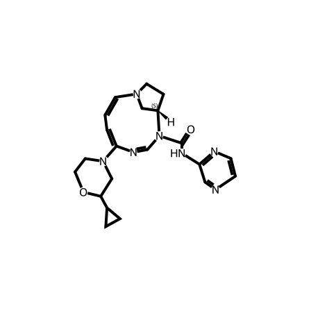 O=C(Nc1cnccn1)N1C=NC(N2CCOC(C3CC3)C2)=CC=CN2CC[C@H]1C2